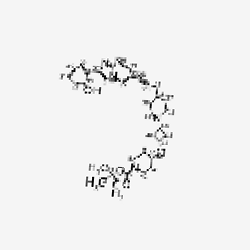 CC(C)(C)OC(=O)N1CCC(O[C@H]2C[C@@H](N3CCC(CC#Cc4cnc5nc(-c6ccccc6O)cn5c4)CC3)C2)CC1